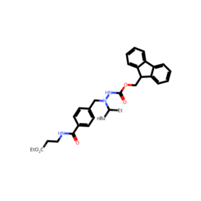 CCCCC(CC)N(Cc1ccc(C(=O)NCCC(=O)OCC)cc1)NC(=O)OCC1c2ccccc2-c2ccccc21